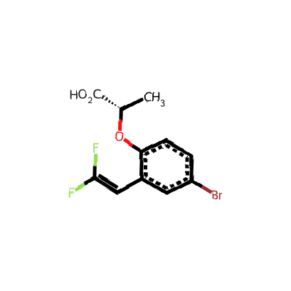 C[C@H](Oc1ccc(Br)cc1C=C(F)F)C(=O)O